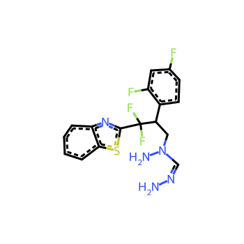 N/N=C\N(N)CC(c1ccc(F)cc1F)C(F)(F)c1nc2ccccc2s1